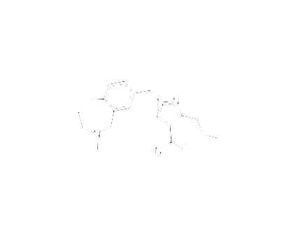 COCc1nn(Cc2ccc3c(c2)CN(C)CCO3)cc1C(N)=O